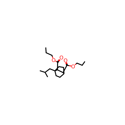 CCCOC(=O)C1C2CCC(CC(C)C)(CC2)C1C(=O)OCCC